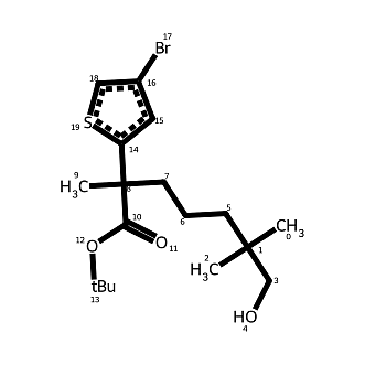 CC(C)(CO)CCCC(C)(C(=O)OC(C)(C)C)c1cc(Br)cs1